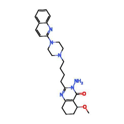 COC1CCCc2nc(CCCCN3CCN(c4ccc5ccccc5n4)CC3)n(N)c(=O)c21